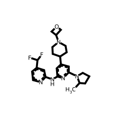 CC1CCCN1c1cc(C2CCN(C3COC3)CC2)cc(Nc2cc(C(F)F)ccn2)n1